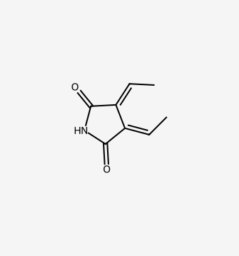 C/C=C1/C(=O)NC(=O)/C1=C/C